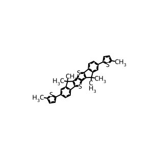 Cc1ccc(-c2ccc3c(c2)C(C)(C)c2c-3sc3c4c(sc23)-c2ccc(-c3ccc(C)s3)cc2C4(C)C)s1